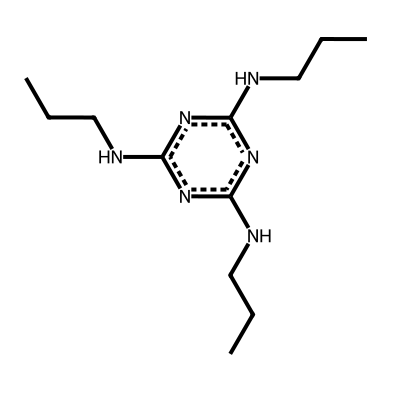 CCCNc1nc(NCCC)nc(NCCC)n1